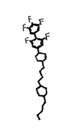 CCCCCC1CCC(CCCCC2CCC(c3cc(F)c(-c4cc(F)c(F)c(F)c4)c(F)c3)CC2)CC1